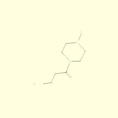 CCN1CCN(C(=O)CCC(=O)O)CC1